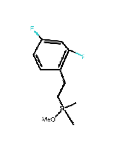 CO[Si](C)(C)CCc1ccc(F)cc1F